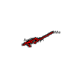 CC[C@H](C)[C@H](NC(=O)C(C)(C)N(C)C)C(=O)N(CCC(=O)NCCNC(=O)[C@H](C)NC(=O)[C@H](C)NC(=O)[C@H](CCCCNC(=O)COCCOCCOCCOCCOCCOCCOCCOCCOCCOC)NC(=O)OCc1ccccc1)[C@H](C[C@@H](OC(C)=O)c1nc(C(=O)N[C@@H](Cc2ccc(OCc3ccccc3)cc2)C[C@H](C)C(=O)OCc2ccccc2)cs1)C(C)C